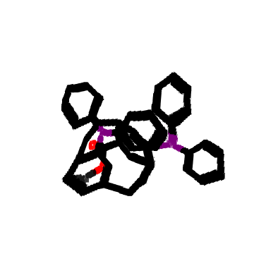 CC(C)(C)OC(=O)c1cc2c(P(c3ccccc3)c3ccccc3)cc1CCc1ccc(cc1P(c1ccccc1)c1ccccc1)CC2